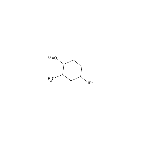 COC1CCC(C(C)C)CC1C(F)(F)F